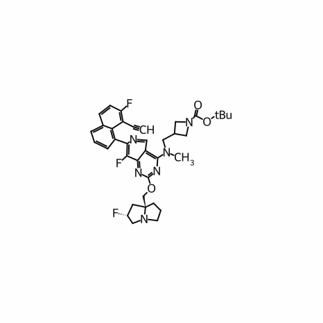 C#Cc1c(F)ccc2cccc(-c3ncc4c(N(C)CC5CN(C(=O)OC(C)(C)C)C5)nc(OC[C@@]56CCCN5C[C@H](F)C6)nc4c3F)c12